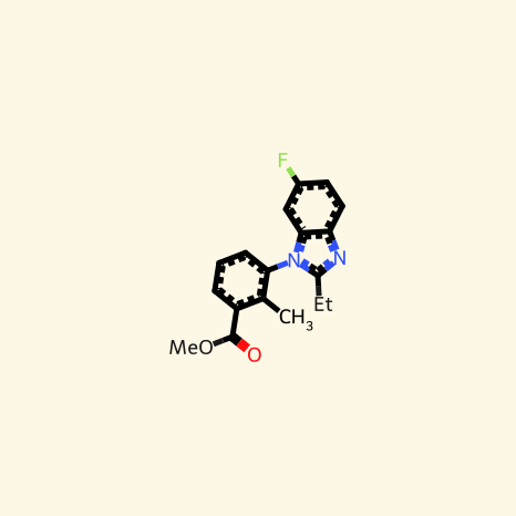 CCc1nc2ccc(F)cc2n1-c1cccc(C(=O)OC)c1C